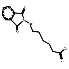 O=C(Cl)CCCCCNN1C(=O)c2ccccc2C1=O